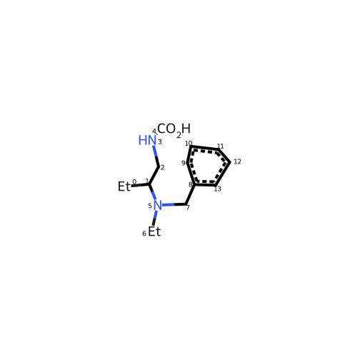 CCC(CNC(=O)O)N(CC)Cc1ccccc1